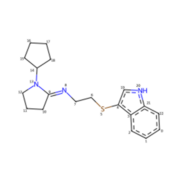 c1ccc2c(SCCN=C3CCCN3C3CCCC3)c[nH]c2c1